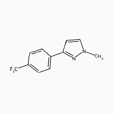 Cn1ccc(-c2ccc(C(F)(F)F)cc2)n1